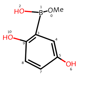 COB(O)c1cc(O)ccc1O